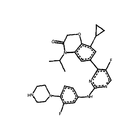 CC(C)N1C(=O)COc2c(C3CC3)cc(-c3nc(Nc4ccc(N5CCNCC5)c(F)c4)ncc3F)cc21